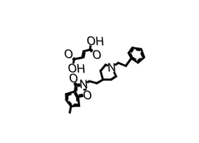 Cc1ccc2c(=O)n(CCC3CCN(CCc4ccccc4)CC3)oc2c1.O=C(O)C=CC(=O)O